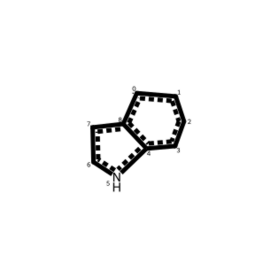 [c]1cccc2[nH]ccc12